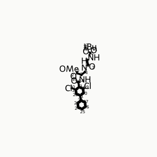 COC(=O)C(CNC(=O)CNC(=O)OC(C)(C)C)NC(=O)c1c(Cl)cc(-c2ccccc2)cc1Cl